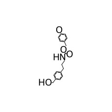 COc1ccc(COC(=O)NCCCc2ccc(CO)cc2)cc1